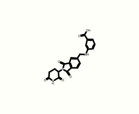 O=C1CCC(N2C(=O)c3ccc(CNc4cccc(C(=O)O)c4)cc3C2=O)C(=O)N1